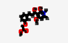 COC(=O)COc1cccc(C=CC(=O)c2c(OC)cc(C)n(C)c2=O)c1